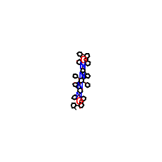 Cc1ccccc1-c1cccc2c1oc1c(N(c3ccccc3)c3ccc4c(c3)c3cccc5c6c(-c7ccccc7)c7c(c(-c8ccccc8)c6n4c35)c3cccc4c5cc(N(c6ccccc6)c6cccc8c6oc6c(-c9ccccc9C)cccc68)ccc5n7c43)cccc12